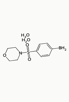 Bc1ccc(S(=O)(=O)N2CCOCC2)cc1.O.O